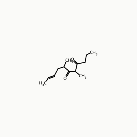 CC=CCC(C)C(=O)C(C)C(=O)CCC